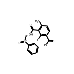 Cc1ccc(C(=O)O)c(F)c1C(=O)O.O=[N+]([O-])c1ccccc1